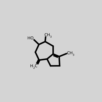 C=C1CC(O)C(C)CC2=C(C)CCC12